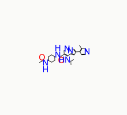 CC(=O)N[C@H]1CC[C@H](NC(=O)c2cnn3cc(-c4ccncc4C)cc3c2NC(C)C)CC1